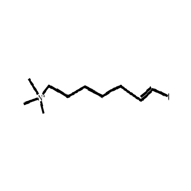 C[N+](C)(C)CCCCCC=CI